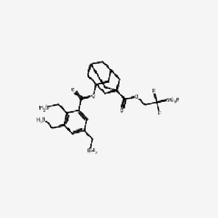 BCc1cc(CB)c(CB)c(C(=O)OC23CC4CC(C2)CC(C(=O)OCC(F)(F)S(=O)(=O)O)(C4)C3)c1